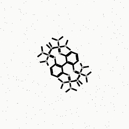 CN(C)P(=Nc1cccc(N=P(N(C)C)(N(C)C)N(C)C)c1-c1c(N=P(N(C)C)(N(C)C)N(C)C)cccc1N=P(N(C)C)(N(C)C)N(C)C)(N(C)C)N(C)C